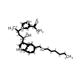 CCCCCCOCc1ccc2[nH]cc([C@H](O)CC(C)n3cnc(C(N)=O)c3)c2c1